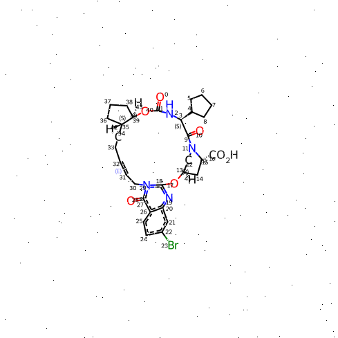 O=C1N[C@@H](C2CCCC2)C(=O)N2C[C@@H](C[C@H]2C(=O)O)Oc2nc3cc(Br)ccc3c(=O)n2C/C=C/CC[C@@H]2CCC[C@H]2O1